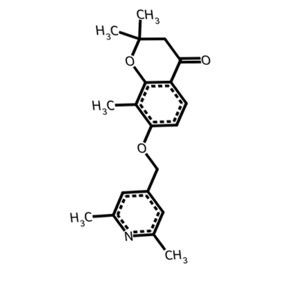 Cc1cc(COc2ccc3c(c2C)OC(C)(C)CC3=O)cc(C)n1